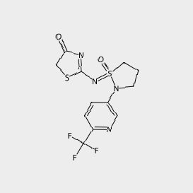 O=C1CSC(N=S2(=O)CCCN2c2ccc(C(F)(F)F)nc2)=N1